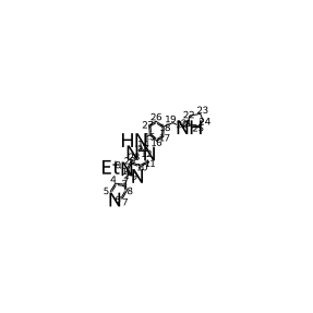 CCn1c(-c2ccncc2)nc2cnc(Nc3ccc(CNC4CCCC4)cc3)nc21